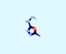 CNc1nnc(I)o1